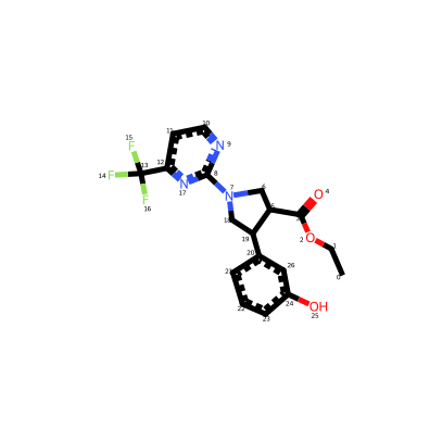 CCOC(=O)C1CN(c2nccc(C(F)(F)F)n2)CC1c1cccc(O)c1